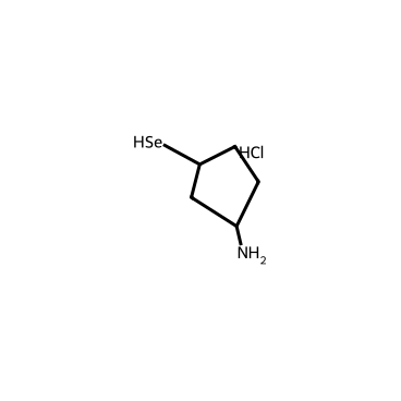 Cl.NC1CCC([SeH])C1